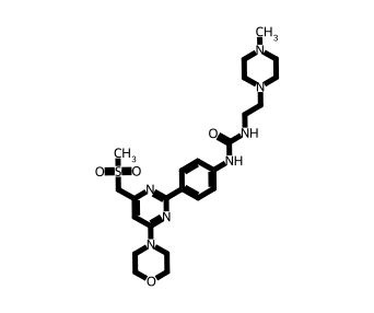 CN1CCN(CCNC(=O)Nc2ccc(-c3nc(CS(C)(=O)=O)cc(N4CCOCC4)n3)cc2)CC1